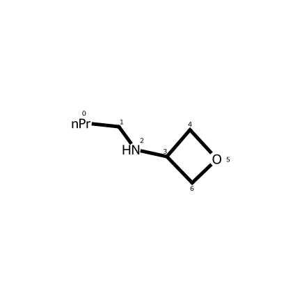 CCCCNC1COC1